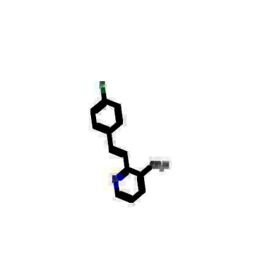 O=C(O)c1cccnc1/C=C/c1ccc(F)cc1